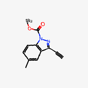 C#Cc1nn(C(=O)OC(C)(C)C)c2ccc(C)cc12